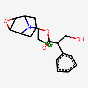 O=C(OC1CC2C3OC3C(C1)N2CCBr)C(CO)c1ccccc1